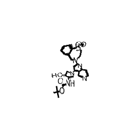 CC(C)(C)OC(=O)N[C@@H]1CN(c2cc(N3CCS(=O)(=O)c4ccccc4C3)nc3ccncc23)C[C@H]1O